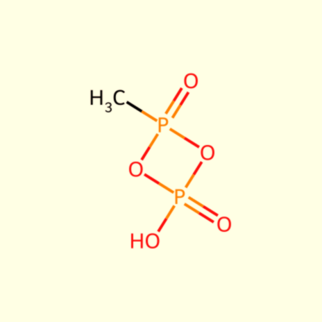 CP1(=O)OP(=O)(O)O1